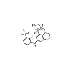 Fc1c(Nc2cc3c4c(c2)[C@@H]2CNC[C@@H]2CN4CCC3)cccc1C(F)(F)F